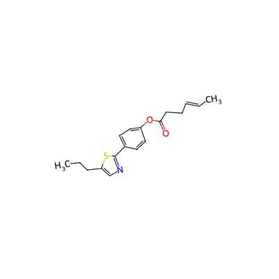 CC=CCCC(=O)Oc1ccc(-c2ncc(CCC)s2)cc1